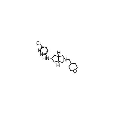 Clc1ccc(N[C@@H]2C[C@@H]3CN(CC4CCOCC4)C[C@@H]3C2)nn1